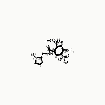 CC(=O)O.CCN1CCC[C@@H]1CNC(=O)c1cc(S(=O)(=O)CC)c(N)cc1OC